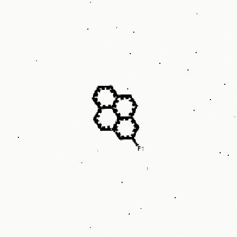 CCc1cc2ccc3[c]ccc4ccc(c1)c2c34